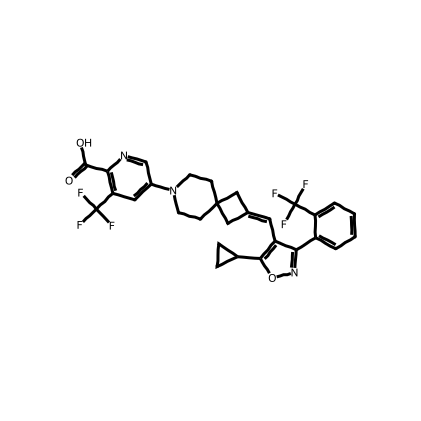 O=C(O)c1ncc(N2CCC3(CC2)CC(=Cc2c(-c4ccccc4C(F)(F)F)noc2C2CC2)C3)cc1C(F)(F)F